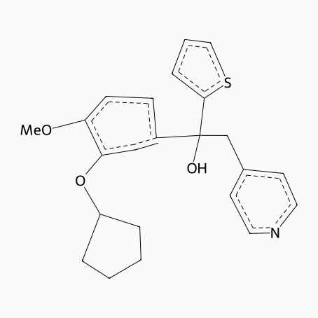 COc1ccc(C(O)(Cc2ccncc2)c2cccs2)cc1OC1CCCC1